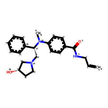 C=CCNC(=O)c1ccc(N(C)[C@H](CN2CC[C@H](O)C2)c2ccccc2)cc1